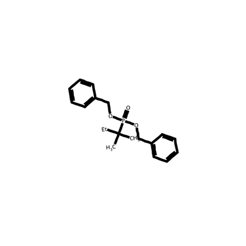 CCC(C)(C)P(=O)(OCc1ccccc1)OCc1ccccc1